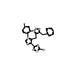 CCc1nc(-c2ncn3c2Cc2c(Cc4ccccc4)nnn2-c2cc(C)ccc2-3)no1